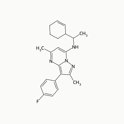 Cc1cc(NC(C)C2C=CCCC2)n2nc(C)c(-c3ccc(F)cc3)c2n1